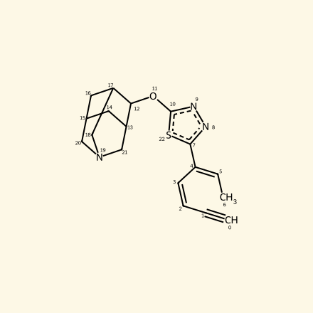 C#C/C=C\C(=C/C)c1nnc(OC2C3CC4CC2CN(C4)C3)s1